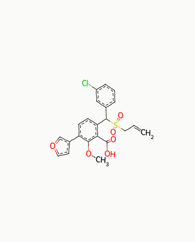 C=CCS(=O)(=O)C(c1cccc(Cl)c1)c1ccc(-c2ccoc2)c(OC)c1C(=O)O